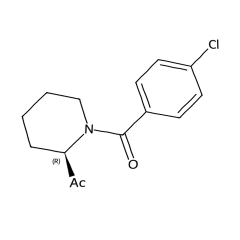 CC(=O)[C@H]1CCCCN1C(=O)c1ccc(Cl)cc1